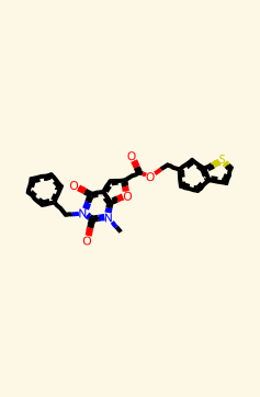 Cn1c(=O)n(Cc2ccccc2)c(=O)c2cc(C(=O)OCc3ccc4ccsc4c3)oc21